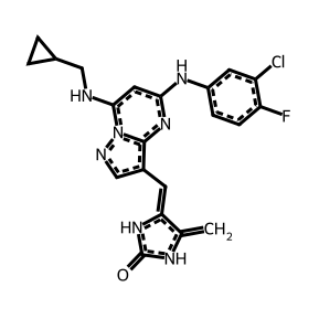 C=c1[nH]c(=O)[nH]/c1=C\c1cnn2c(NCC3CC3)cc(Nc3ccc(F)c(Cl)c3)nc12